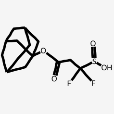 O=C(CC(F)(F)S(=O)O)OC12CC3CC(CC(C3)C1)C2